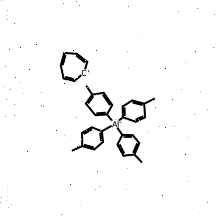 Cc1cc[c]([Al-]([c]2ccc(C)cc2)([c]2ccc(C)cc2)[c]2ccc(C)cc2)cc1.c1ccc[cH+]cc1